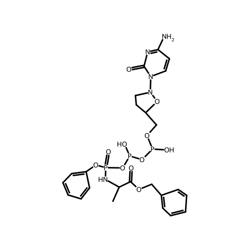 CC(NP(=O)(Oc1ccccc1)OP(O)OP(O)OCC1CCN(n2ccc(N)nc2=O)O1)C(=O)OCc1ccccc1